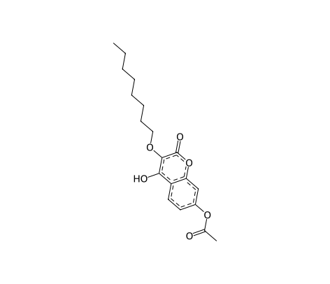 CCCCCCCCOc1c(O)c2ccc(OC(C)=O)cc2oc1=O